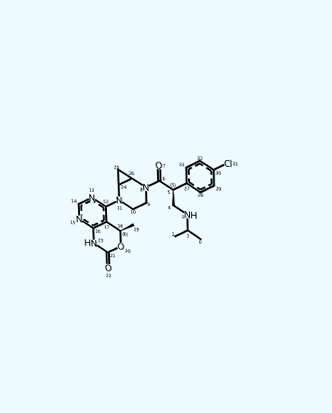 CC(C)NC[C@@H](C(=O)N1CCN(c2ncnc3c2[C@@H](C)OC(=O)N3)C2CC21)c1ccc(Cl)cc1